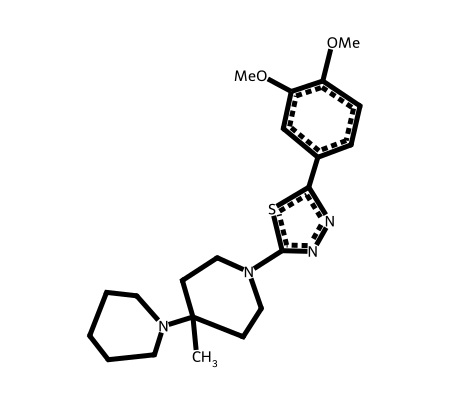 COc1ccc(-c2nnc(N3CCC(C)(N4CCCCC4)CC3)s2)cc1OC